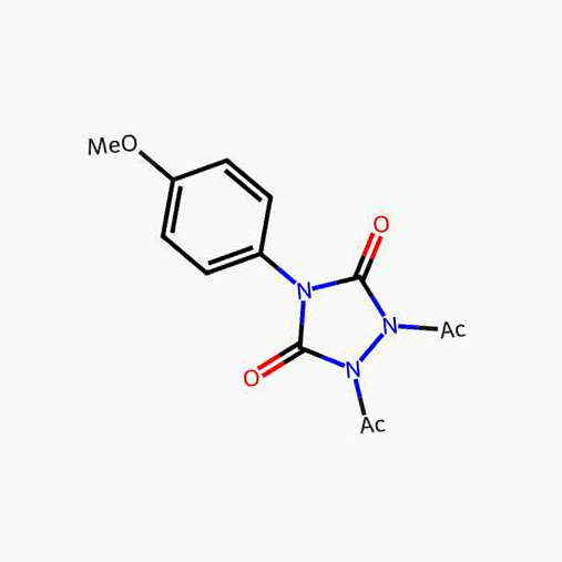 COc1ccc(-n2c(=O)n(C(C)=O)n(C(C)=O)c2=O)cc1